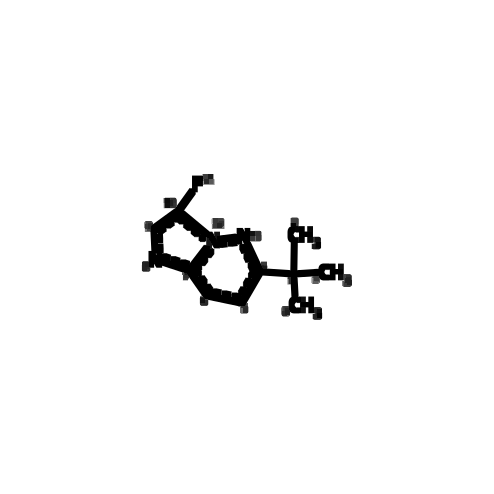 CC(C)(C)c1ccc2ncc(F)n2n1